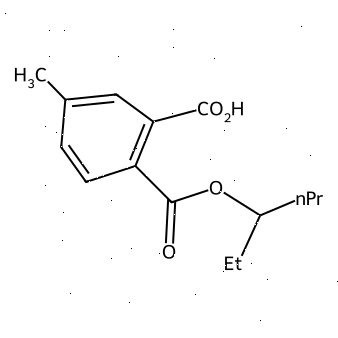 CCCC(CC)OC(=O)c1ccc(C)cc1C(=O)O